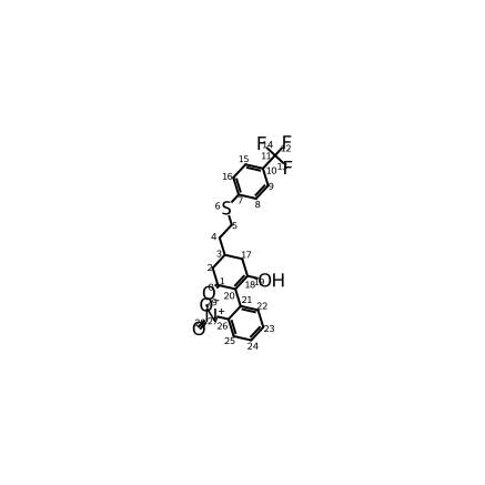 O=C1CC(CCSc2ccc(C(F)(F)F)cc2)CC(O)=C1c1ccccc1[N+](=O)[O-]